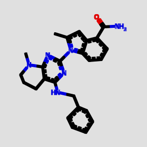 Cc1cc2c(C(N)=O)cccc2n1-c1nc(NCc2ccccc2)c2c(n1)N(C)CCC2